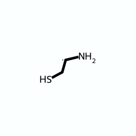 N[CH]CS